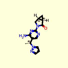 C[C@H](c1cnc(N2C[C@H]3C[C@H]3C2=O)nc1N)n1cccn1